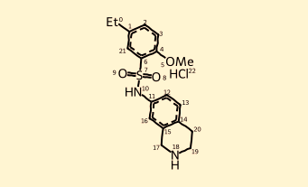 CCc1ccc(OC)c(S(=O)(=O)Nc2ccc3c(c2)CNCC3)c1.Cl